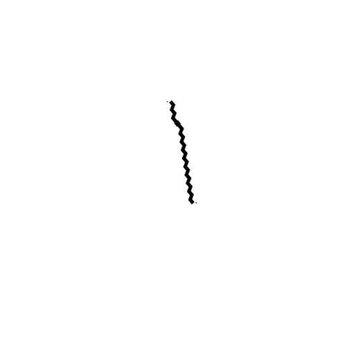 [CH2]CCCCC#CCCCCCCCCCCCCCCCCCC[CH2]